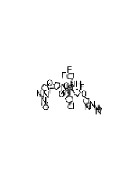 O=C(Nc1ccc(Oc2ccc3ncc(N4CCOCC4)nc3c2)c(F)c1)N(c1ccc(Cl)cc1)N(C(=O)Nc1ccc(F)c(F)c1)c1ccc(Oc2ccc3ncc(-n4cccn4)nc3c2)c(F)c1